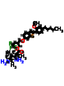 CCCCCc1ccc(-c2cc3ccc(OCC(COC(=O)C(C)(C)C(N)CC(C)(C)N)CC(F)(F)F)cc3s2)c(OC)c1